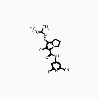 CC(NSc1c(Cl)c(C(=O)Nc2cc(F)nc(C#N)c2)n2c1CCC2)OC(F)(F)F